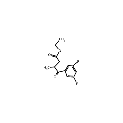 CCOC(=O)CC(C)C(=O)c1cc(F)cc(F)c1